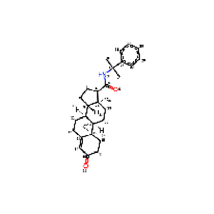 CC(C)(NC(=O)C1CC[C@H]2[C@@H]3CCC4=CC(=O)CC[C@]4(C)[C@@H]3CC[C@]12C)c1ccccc1